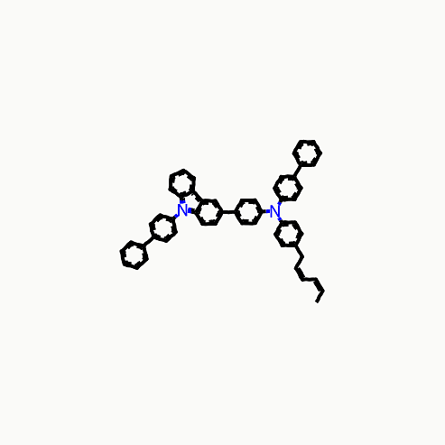 C/C=C\C=C/Cc1ccc(N(c2ccc(-c3ccccc3)cc2)c2ccc(-c3ccc4c(c3)c3ccccc3n4-c3ccc(-c4ccccc4)cc3)cc2)cc1